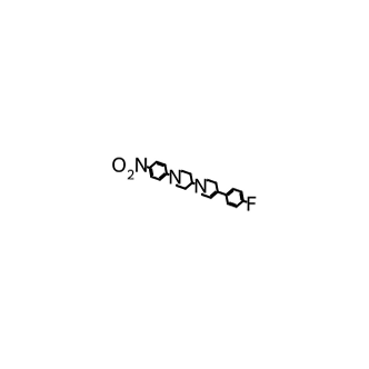 O=[N+]([O-])c1ccc(N2CCC(N3CC=C(c4ccc(F)cc4)CC3)CC2)cc1